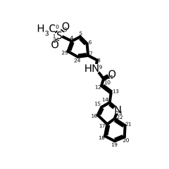 CS(=O)(=O)c1ccc(CNC(=O)/C=C/c2ccc3ccccc3n2)cc1